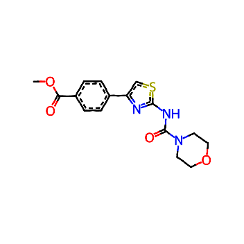 COC(=O)c1ccc(-c2csc(NC(=O)N3CCOCC3)n2)cc1